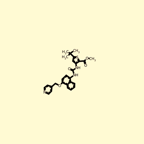 COC(=O)c1sc(C(C)(C)C)cc1NC(=O)Nc1ccc(OCc2ccncc2)c2ccccc12